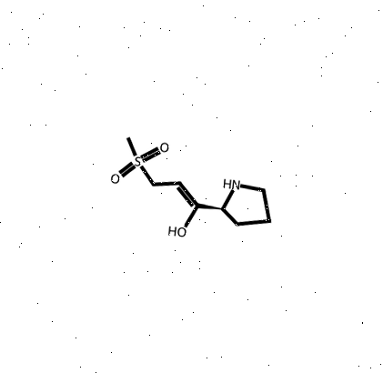 CS(=O)(=O)CC=C(O)[C@@H]1CCCN1